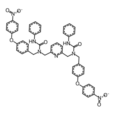 O=C(Nc1ccccc1)N(Cc1ccc(Oc2ccc([N+](=O)[O-])cc2)cc1)Cc1cccc(CN(Cc2ccc(Oc3ccc([N+](=O)[O-])cc3)cc2)C(=O)Nc2ccccc2)n1